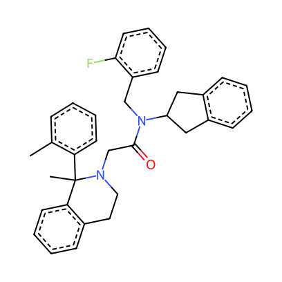 Cc1ccccc1C1(C)c2ccccc2CCN1CC(=O)N(Cc1ccccc1F)C1Cc2ccccc2C1